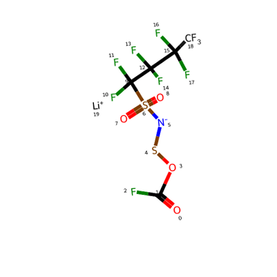 O=C(F)OS[N-]S(=O)(=O)C(F)(F)C(F)(F)C(F)(F)C(F)(F)F.[Li+]